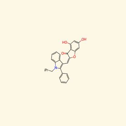 CC(C)Cn1c(-c2ccccc2)c(C=C2Oc3cc(O)cc(O)c3C2=O)c2ccccc21